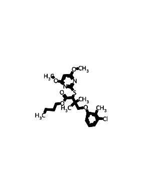 CCCCOC(=O)C(Sc1nc(OC)cc(OC)n1)C(C)(C)COc1cccc(Cl)c1C